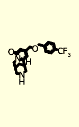 O=c1cc(COCc2ccc(C(F)(F)F)cc2)cc2n1CC1CNC[C@H]2C1